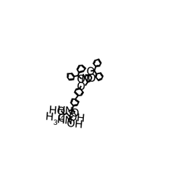 C[C@@H](O)[C@H](NC(=O)c1ccc(-c2ccc(OCC3=COC(OC(c4ccccc4)c4ccccc4)=CN3OC(c3ccccc3)c3ccccc3)cc2)cc1)C(O)NO